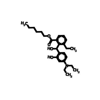 CCCCCCOC(=O)c1cccc(CC)c1C(O)c1ccc(N(CC)CC)cc1O